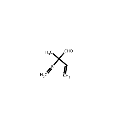 C=BC(C)(C=C)C=O